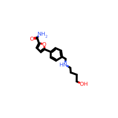 NC(=O)c1ccc(-c2ccc(CNCCCCO)cc2)o1